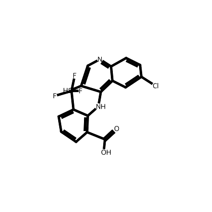 O=C(O)c1cccc(C(F)(F)F)c1Nc1c(S)cnc2ccc(Cl)cc12